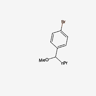 [CH2]OC(CCC)c1ccc(Br)cc1